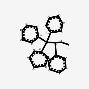 CCC(c1ccccc1)C(c1ccccc1)(c1ccccc1)c1ccccc1